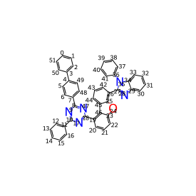 c1ccc(-c2ccc(-c3nc(-c4ccccc4)nc(-c4cccc5oc6c(-c7nc8ccccc8n7-c7ccccc7)cccc6c45)n3)cc2)cc1